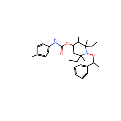 CCC1(C)CC(OC(=O)Nc2ccc(C)cc2)C(C)C(C)(CC)N1OC(C)c1ccccc1